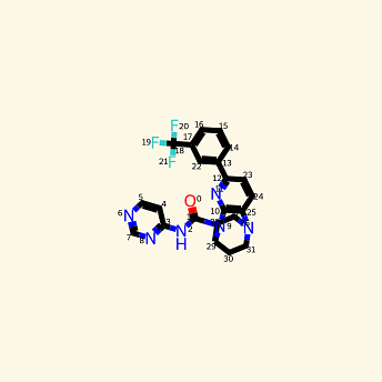 O=C(Nc1ccncn1)N1c2nc(-c3cccc(C(F)(F)F)c3)ccc2N2CCC1CC2